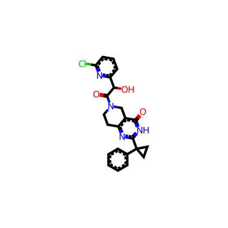 O=C(C(O)c1cccc(Cl)n1)N1CCc2nc(C3(c4ccccc4)CC3)[nH]c(=O)c2C1